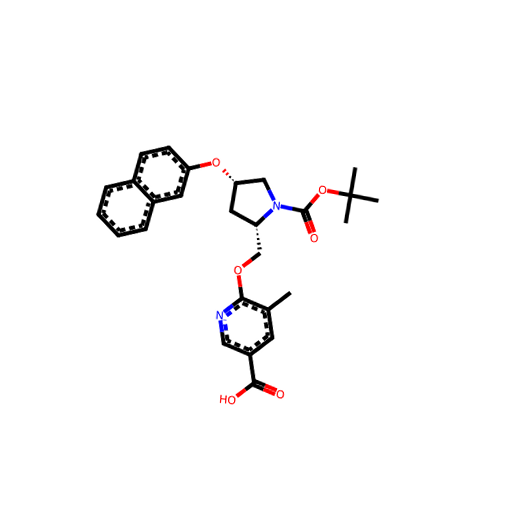 Cc1cc(C(=O)O)cnc1OC[C@@H]1C[C@H](Oc2ccc3ccccc3c2)CN1C(=O)OC(C)(C)C